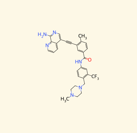 Cc1ccc(C(=O)Nc2ccc(CN3CCN(C)CC3)c(C(F)(F)F)c2)cc1C#Cc1cnc(N)c2ncccc12